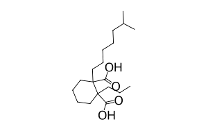 CCCC1(C(=O)O)CCCCC1(CCCCCC(C)C)C(=O)O